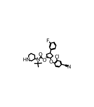 CC(C)(C)N(C(=O)O[C@@H]1CC(c2cccc(F)c2)CC1Oc1ccc(C#N)cc1Cl)C1CCCNC1